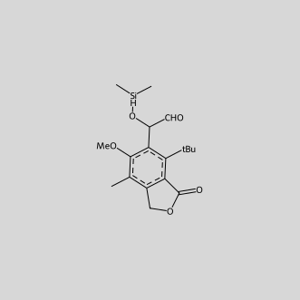 COc1c(C)c2c(c(C(C)(C)C)c1C(C=O)O[SiH](C)C)C(=O)OC2